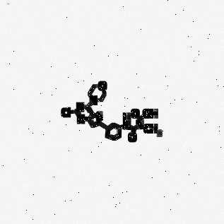 CN(C(=O)O)C(=O)Nc1cccc(-c2cc3nc(Cl)nc(N4CCOCC4)c3s2)c1